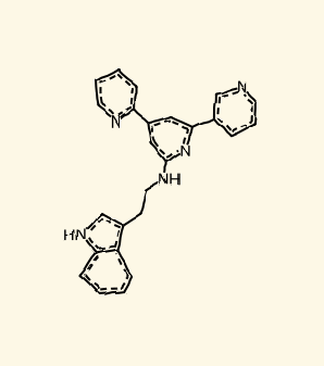 c1ccc(-c2cc(NCCc3c[nH]c4ccccc34)nc(-c3cccnc3)c2)nc1